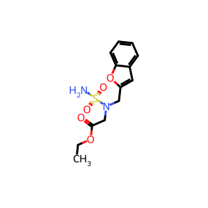 CCOC(=O)CN(Cc1cc2ccccc2o1)S(N)(=O)=O